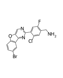 NCc1cc(Cl)c(-c2ncc3oc4ccc(Br)cc4c3n2)cc1F